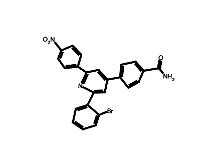 NC(=O)c1ccc(-c2cc(-c3ccc([N+](=O)[O-])cc3)nc(-c3ccccc3Br)c2)cc1